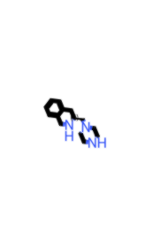 c1ccc2c(c1)CN[C@H](CN1CCNCC1)C2